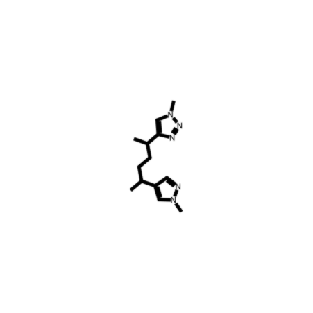 CC(CCC(C)c1cn(C)nn1)c1cnn(C)c1